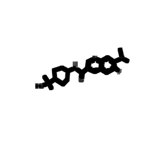 CN(C)c1cc2ncc(C(=O)NC3CCC(C(C)(C)O)CC3)cc2cc1F